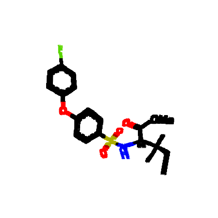 C=CC(C)(C)[C@@H](NS(=O)(=O)c1ccc(Oc2ccc(F)cc2)cc1)C(=O)OC